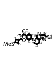 CSC1CC(C(=O)N(C)[C@@H](c2ccc(N3CCCc4c3cnc3cc(Cl)nn43)cc2)C(F)(F)F)C1